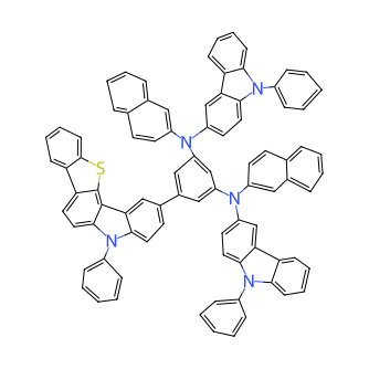 c1ccc(-n2c3ccccc3c3cc(N(c4cc(-c5ccc6c(c5)c5c7sc8ccccc8c7ccc5n6-c5ccccc5)cc(N(c5ccc6ccccc6c5)c5ccc6c(c5)c5ccccc5n6-c5ccccc5)c4)c4ccc5ccccc5c4)ccc32)cc1